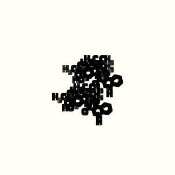 CC(C)(C)c1cc([Si](C)(C)C(C)(C)C)c(NC(=O)c2c[nH]c3ccccc3c2=O)cc1O.CC(C)(C)c1cc([Si](C)(C)C(C)(C)C)c(NC(=O)c2c[nH]c3ccccc3c2=O)cc1O